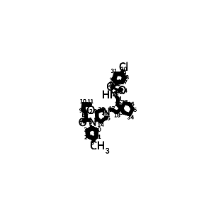 Cc1ccc(N(C(=O)c2ccco2)C2CCN(CCC3(CCNS(=O)(=O)c4ccc(Cl)cc4)CCCCC3)CC2)cc1